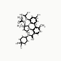 Cc1ncc(C(=O)NC2CCC(F)(F)CC2)c(N2CC[C@](C)(OC(N)=O)C2)c1-c1cc(F)cc(OC(F)F)c1